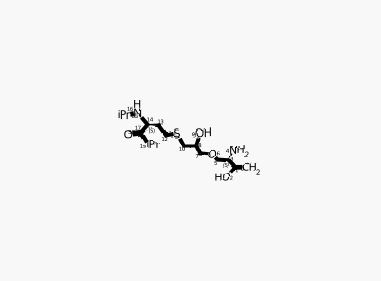 C=C(O)[C@@H](N)COCC(O)CSCC[C@H](NC(C)C)C(=O)C(C)C